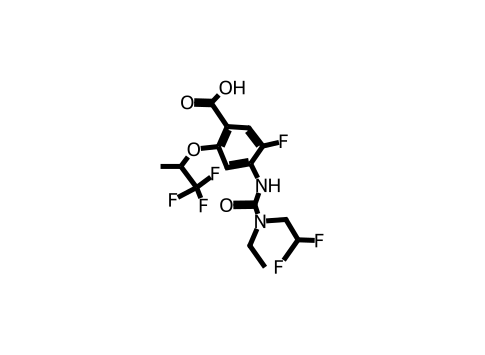 CCN(CC(F)F)C(=O)Nc1cc(OC(C)C(F)(F)F)c(C(=O)O)cc1F